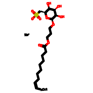 CCCCCCCC/C=C\CCCCCCCC(=O)OCCCO[C@H]1O[C@H](CS(=O)(=O)[O-])[C@@H](O)[C@H](O)[C@H]1O.[Na+]